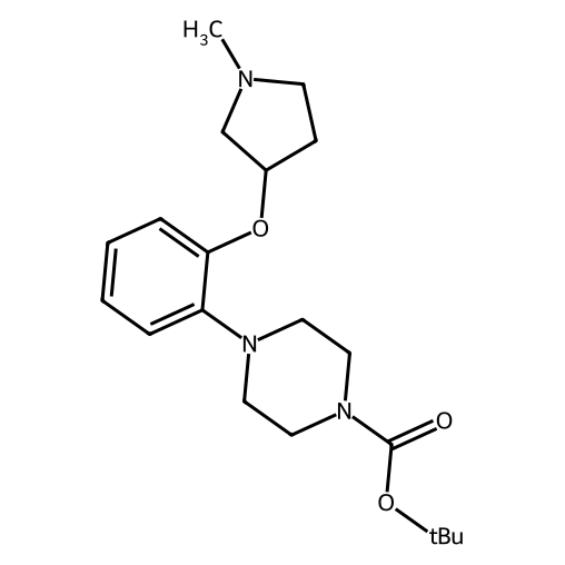 CN1CCC(Oc2ccccc2N2CCN(C(=O)OC(C)(C)C)CC2)C1